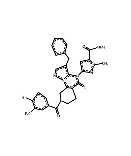 CNC(=O)c1cc(-n2c(=O)c3c(n4ncc(Cc5ccccc5)c24)CN(C(=O)c2ccc(Br)c(C(F)(F)F)c2)CC3)nn1C